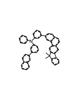 CC1(C)c2ccccc2-c2cc3ccc4ccc(-c5cccc(N(c6ccccc6)c6cccc(-c7ccc8ccccc8c7)c6)c5)cc4c3cc21